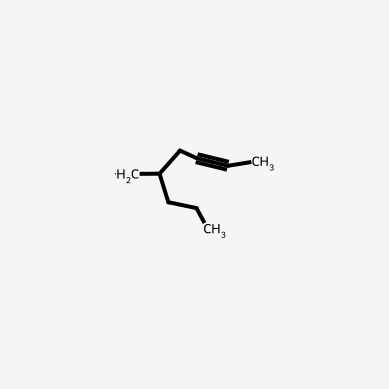 [CH2]C(CC#CC)CCC